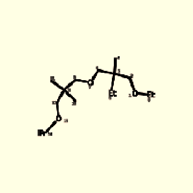 CCOCC(C)(CC)COCC(C)(C)COC(C)C